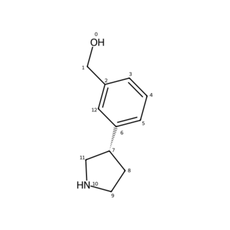 OCc1cccc([C@@H]2CCNC2)c1